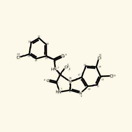 O=C(NC1(C(F)(F)F)C(=O)Nc2nc3cc(Cl)c(Cl)cc3n21)c1cccc(Cl)c1